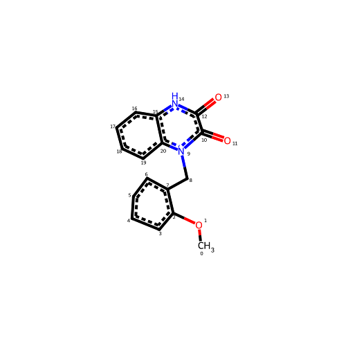 COc1ccccc1Cn1c(=O)c(=O)[nH]c2ccccc21